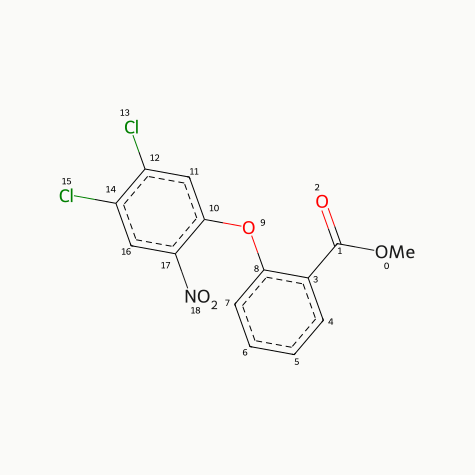 COC(=O)c1ccccc1Oc1cc(Cl)c(Cl)cc1[N+](=O)[O-]